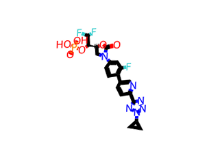 O=C1O[C@H](C(OP(=O)(O)O)C(F)F)CN1c1ccc(-c2ccc(-c3nnn(C4CC4)n3)nc2)c(F)c1